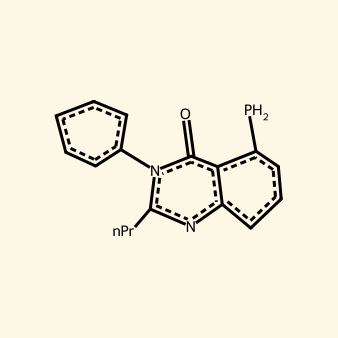 CCCc1nc2cccc(P)c2c(=O)n1-c1ccccc1